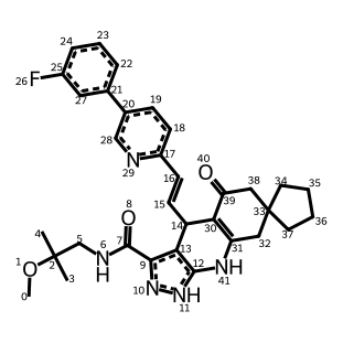 COC(C)(C)CNC(=O)c1n[nH]c2c1C(C=Cc1ccc(-c3cccc(F)c3)cn1)C1=C(CC3(CCCC3)CC1=O)N2